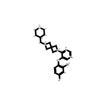 Fc1ccc(Oc2cncnc2N2CC3(CN(CC4CCOCC4)C3)C2)c(Br)c1